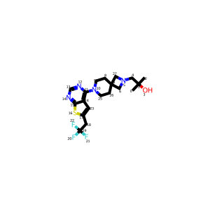 CC(C)(O)CN1CC2(CCN(c3ncnc4sc(CC(F)(F)F)cc34)CC2)C1